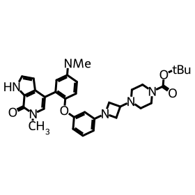 CNc1ccc(Oc2cccc(N3CC(N4CCN(C(=O)OC(C)(C)C)CC4)C3)c2)c(-c2cn(C)c(=O)c3[nH]ccc23)c1